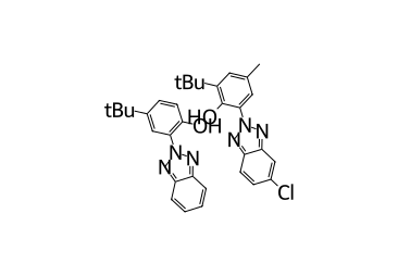 CC(C)(C)c1ccc(O)c(-n2nc3ccccc3n2)c1.Cc1cc(-n2nc3ccc(Cl)cc3n2)c(O)c(C(C)(C)C)c1